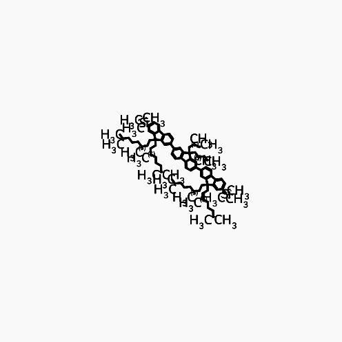 CC[C@H](C)CC1(C[C@@H](C)CC)c2cc(-c3ccc4c(c3)C(CC[C@@H](C)CCCC(C)C)(CC[C@@H](C)CCCC(C)C)c3cc([Si](C)(C)C)ccc3-4)ccc2-c2ccc(-c3ccc4c(c3)C(CC[C@@H](C)CCCC(C)C)(CC[C@@H](C)CCCC(C)C)c3cc([Si](C)(C)C)ccc3-4)cc21